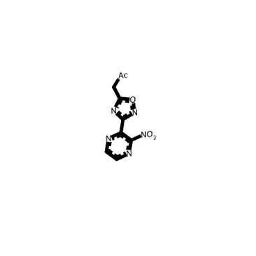 CC(=O)Cc1nc(-c2nccnc2[N+](=O)[O-])no1